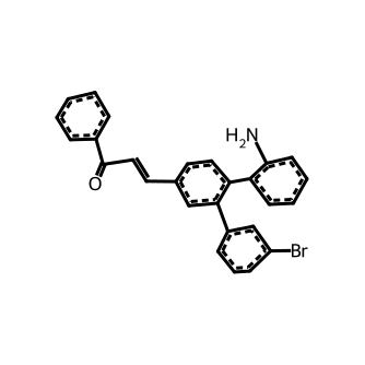 Nc1ccccc1-c1ccc(C=CC(=O)c2ccccc2)cc1-c1cccc(Br)c1